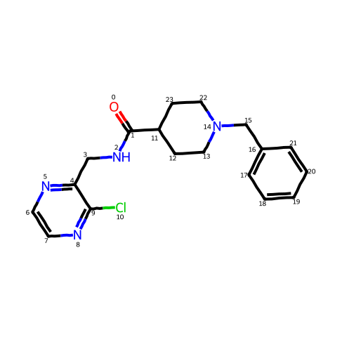 O=C(NCc1nccnc1Cl)C1CCN(Cc2ccccc2)CC1